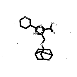 NC(=O)c1nc(C2CCCCC2)[nH]c1COC12CC3CC(CC(C3)C1)C2